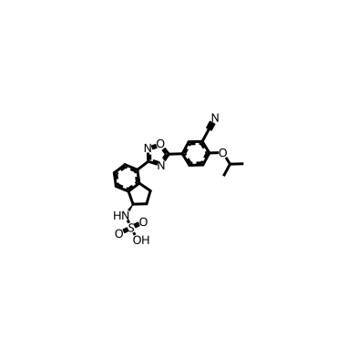 CC(C)Oc1ccc(-c2nc(-c3cccc4c3CC[C@H]4NS(=O)(=O)O)no2)cc1C#N